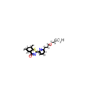 Cc1cc(C)c2sc(-c3cccc(CCCOCCC(=O)O)n3)nc(=O)c2c1